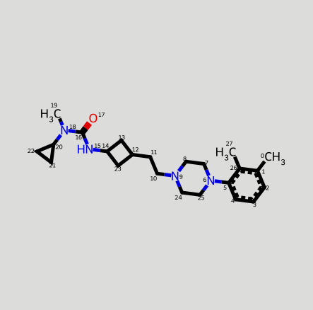 Cc1cccc(N2CCN(CCC3CC(NC(=O)N(C)C4CC4)C3)CC2)c1C